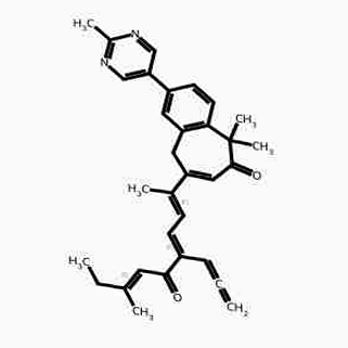 C=C=C/C(=C\C=C(/C)C1=CC(=O)C(C)(C)c2ccc(-c3cnc(C)nc3)cc2C1)C(=O)/C=C(\C)CC